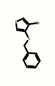 Brc1cscc1SCc1ccccc1